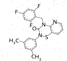 Cc1cc(C)cc(N2Sc3cccnc3N(Cc3c(F)cc(F)cc3F)C2=O)c1